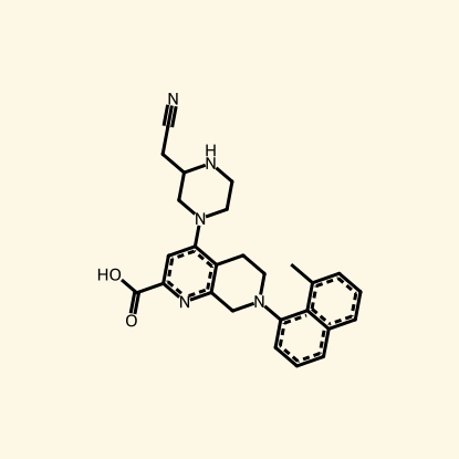 Cc1cccc2cccc(N3CCc4c(N5CCNC(CC#N)C5)cc(C(=O)O)nc4C3)c12